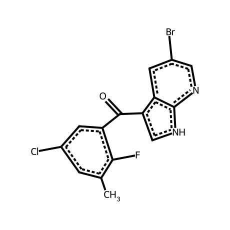 Cc1cc(Cl)cc(C(=O)c2c[nH]c3ncc(Br)cc23)c1F